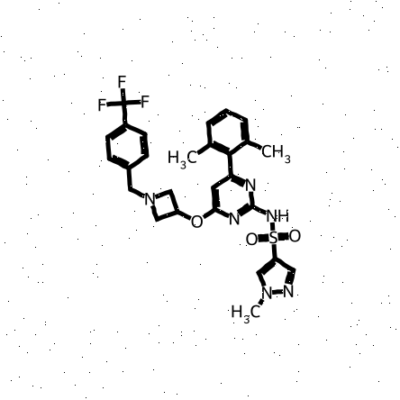 Cc1cccc(C)c1-c1cc(OC2CN(Cc3ccc(C(F)(F)F)cc3)C2)nc(NS(=O)(=O)c2cnn(C)c2)n1